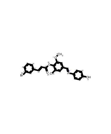 COc1cc(/C=N/c2ccc(O)cc2)cc(Cl)c1OC(=O)C=Cc1cccc(Br)c1